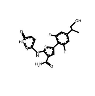 CC(CO)c1cc(F)c(-c2cc(C(N)=O)c(Nc3ccc(=O)[nH]n3)s2)c(F)c1